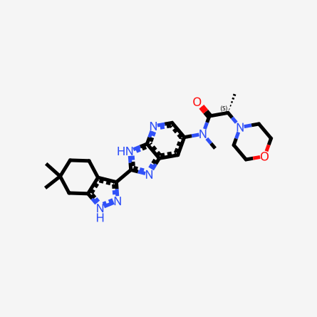 C[C@@H](C(=O)N(C)c1cnc2[nH]c(-c3n[nH]c4c3CCC(C)(C)C4)nc2c1)N1CCOCC1